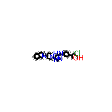 OCC(CCl)c1ccc(Nc2cc(N3CCC(N4CCc5ccccc5C4)CC3)ncn2)cc1